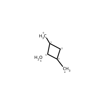 CC1CC(C)C1.O